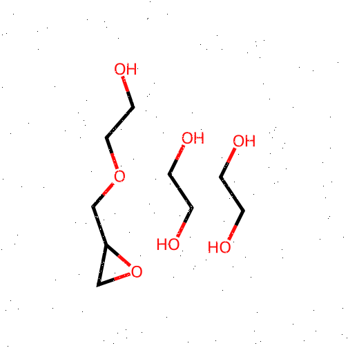 OCCO.OCCO.OCCOCC1CO1